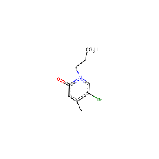 Cc1cc(=O)n(CCC(=O)O)cc1Br